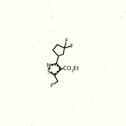 CCOC(=O)c1c(C2CCC(F)(F)C2)nsc1CF